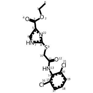 CCOC(=O)c1c[nH]c(SCC(=O)Nc2c(Cl)cccc2Cl)n1